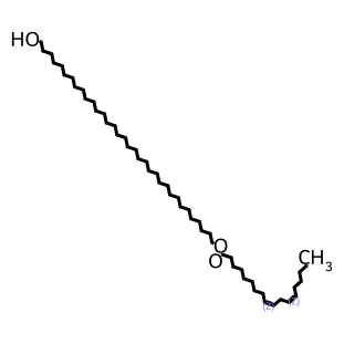 CCCCC/C=C\C/C=C\CCCCCCCC(=O)OCCCCCCCCCCCCCCCCCCCCCCCCCCCCCCCCCCO